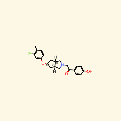 Cc1ccc(O[C@@H]2C[C@@H]3CN(CC(=O)c4ccc(O)cc4)C[C@@H]3C2)cc1F